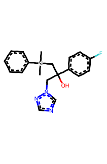 C[Si](C)(CC(O)(Cn1cncn1)c1ccc(F)cc1)c1ccccc1